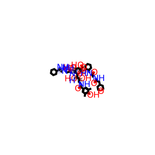 Cc1cc(C(=O)NC[C@@H](O)[C@@H](O)C2O[C@@](OC3CCCCC3NC(=O)CNC(=O)CC3CCOCC3)(C(=O)O)C[C@H](O)[C@H]2NC(=O)CN(N)/C=C(\N)C2CCCCC2)cc(C)c1O